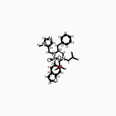 CC(C)CN(CC(C)C)C[C@H](Cc1ccccc1)N(Cc1cncn1C)S(=O)(=O)c1ccc2occc2c1